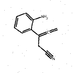 C=C=C(CC#N)c1ccccc1N